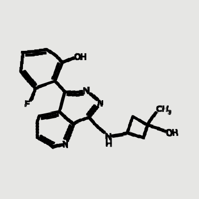 CC1(O)CC(Nc2nnc(-c3c(O)cccc3F)c3cccnc23)C1